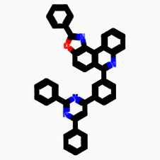 c1ccc(-c2cc(-c3cccc(-c4nc5ccccc5c5c4ccc4oc(-c6ccccc6)nc45)c3)nc(-c3ccccc3)n2)cc1